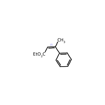 CCOC(=O)/C=C(/C)c1ccccc1